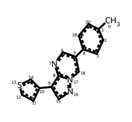 Cc1ccc(-c2cnc3c(-c4ccsc4)cnn3c2)cc1